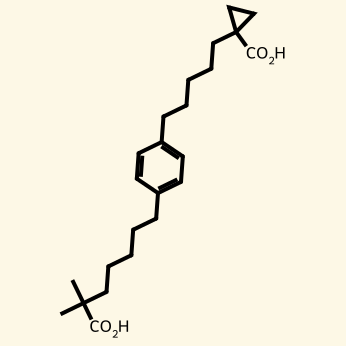 CC(C)(CCCCCc1ccc(CCCCCC2(C(=O)O)CC2)cc1)C(=O)O